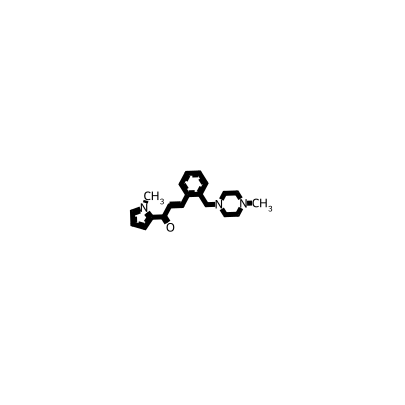 CN1CCN(Cc2ccccc2C=CC(=O)c2cccn2C)CC1